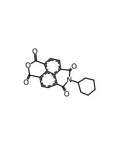 O=C1OC(=O)c2ccc3c4c(ccc1c24)C(=O)N(C1CCCCC1)C3=O